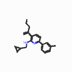 C=C(CCC)c1ccc(-c2cccc(C)c2)nc1NCC1CC1